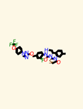 CCCc1ccc(C)cc1N1C(=O)CS/C1=N\C(=O)Nc1ccc(COc2ncn(-c3ccc(OC(F)(F)F)cc3)n2)cc1F